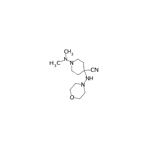 CN(C)N1CCC(C#N)(NN2CCOCC2)CC1